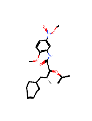 COc1ccc([N+](=O)OC)cc1NC(=O)C(OC(C)C)[C@H](C)CC1CCCCC1